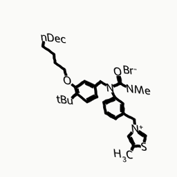 CCCCCCCCCCCCCCOc1cc(CN(C(=O)NC)c2cccc(C[n+]3csc(C)c3)c2)ccc1C(C)(C)C.[Br-]